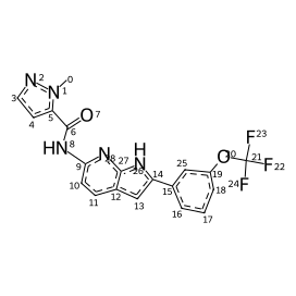 Cn1nccc1C(=O)Nc1ccc2cc(-c3cccc(OC(F)(F)F)c3)[nH]c2n1